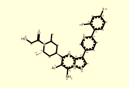 CC(=O)c1c([C@@H]2CC(C)N(C(=O)CO)[C@@H](C)C2)nc2c(-c3ccc(-c4ccc(F)cc4F)nc3)cnn2c1N